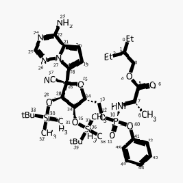 CCC(CC)COC(=O)[C@H](C)N[P@](=O)(OC[C@H]1O[C@@](C#N)(c2ccc3c(N)ncnn23)[C@H](O[Si](C)(C)C(C)(C)C)[C@@H]1O[Si](C)(C)C(C)(C)C)Oc1ccccc1